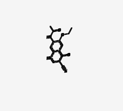 CCOc1cc2c(=O)c(C#N)c[nH]c2cc1NC(C)=O